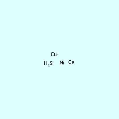 [Ce].[Cu].[Ni].[SiH4]